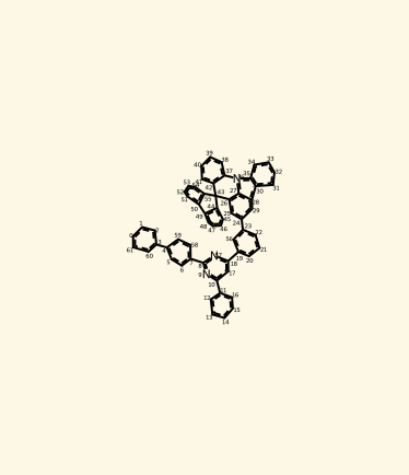 c1ccc(-c2ccc(-c3nc(-c4ccccc4)cc(-c4cccc(-c5cc6c7c(c5)c5ccccc5n7-c5ccccc5C65c6ccccc6-c6ccccc65)c4)n3)cc2)cc1